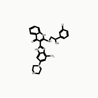 Cc1cc(N2CCNCC2)cc2[nH]c(-c3c(NCC(O)c4cccc(Cl)c4)[nH]c4ccccc4c3=O)nc12